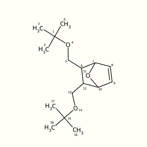 CC(C)(C)OCC1C2C=CC(O2)C1COC(C)(C)C